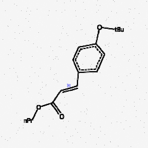 CCCOC(=O)/C=C/c1ccc(OC(C)(C)C)cc1